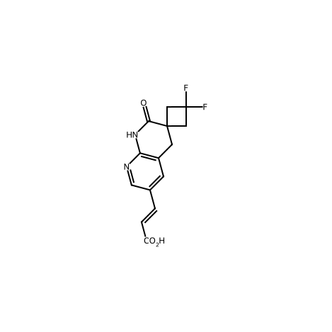 O=C(O)C=Cc1cnc2c(c1)CC1(CC(F)(F)C1)C(=O)N2